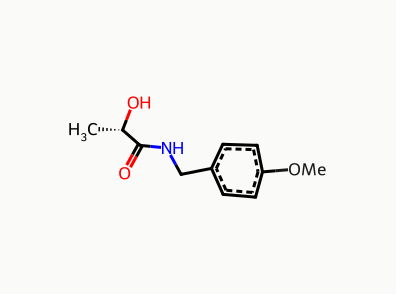 COc1ccc(CNC(=O)[C@H](C)O)cc1